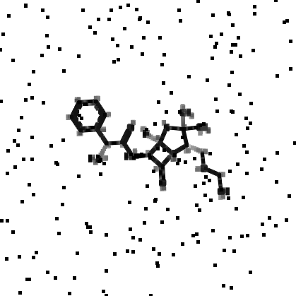 CC1(C)S[C@@H]2[C@H](NC(=O)[C@H](N)c3ccccc3)C(=O)N2[C@H]1COCO